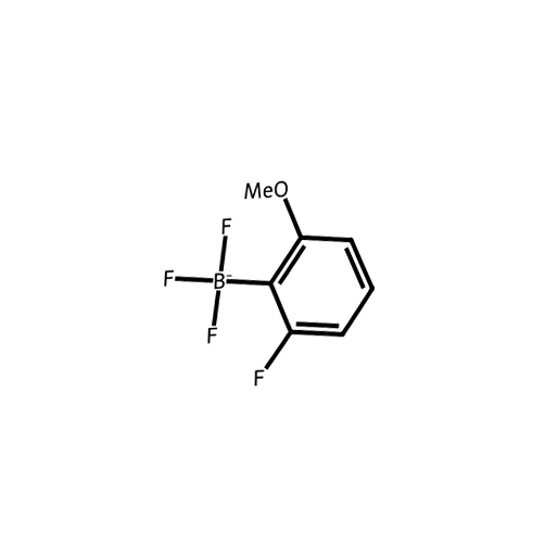 COc1cccc(F)c1[B-](F)(F)F